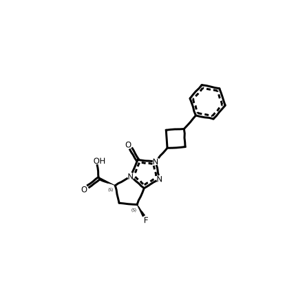 O=C(O)[C@@H]1C[C@H](F)c2nn(C3CC(c4ccccc4)C3)c(=O)n21